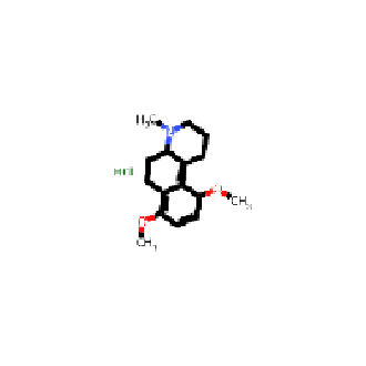 COC1=C2CCC3C(=C2C(OC)C=C1)CCCN3C.Cl